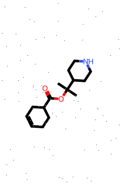 CC(C)(OC(=O)C1CC=CCC1)C1CCNCC1